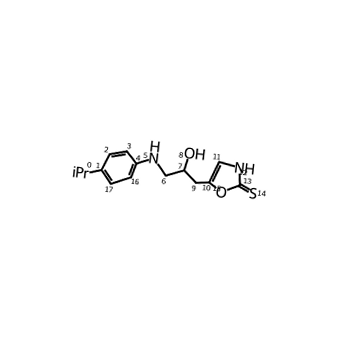 CC(C)c1ccc(NCC(O)Cc2c[nH]c(=S)o2)cc1